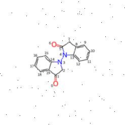 O=C1CN(N2C(=O)Cc3ccccc32)c2ccccc21